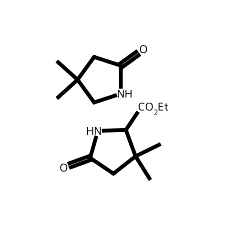 CC1(C)CNC(=O)C1.CCOC(=O)C1NC(=O)CC1(C)C